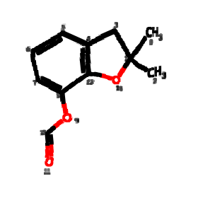 CC1(C)Cc2cccc(OC=O)c2O1